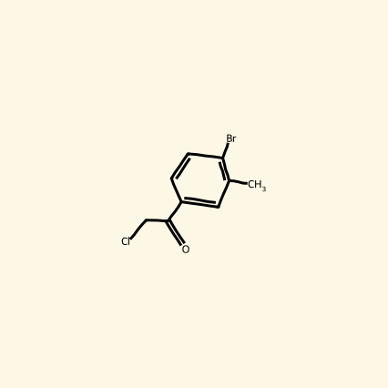 Cc1cc(C(=O)CCl)ccc1Br